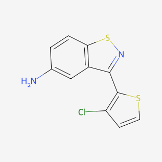 Nc1ccc2snc(-c3sccc3Cl)c2c1